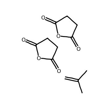 C=C(C)C.O=C1CCC(=O)O1.O=C1CCC(=O)O1